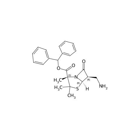 CC1(C)S[C@@H]2[C@H](CN)C(=O)N2[C@@]1(C)C(=O)OC(c1ccccc1)c1ccccc1